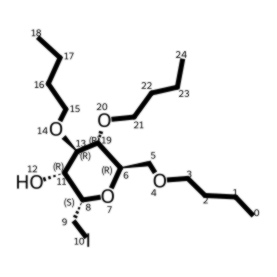 CCCCOC[C@H]1O[C@H](CI)[C@H](O)[C@@H](OCCCC)[C@@H]1OCCCC